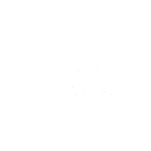 Cn1nccc1-c1nc(C(C)(C)C)nc2c1nnn2CC(O)CC(F)(F)F